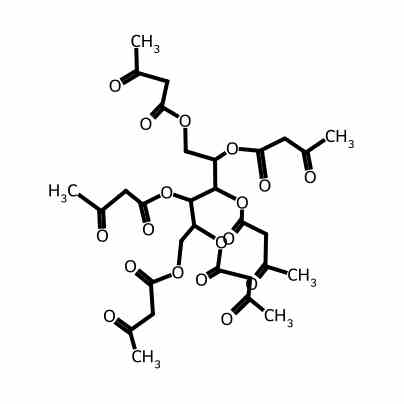 CC(=O)CC(=O)OCC(OC(=O)CC(C)=O)C(OC(=O)CC(C)=O)C(OC(=O)CC(C)=O)C(COC(=O)CC(C)=O)OC(=O)CC(C)=O